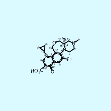 CN1CCN2c3c(F)cc4c(=O)c(C(=O)O)cn(C5CC5)c4c3COC[C@@H]2C1